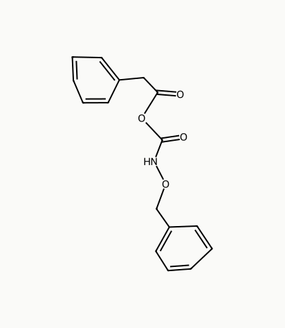 O=C(Cc1ccccc1)OC(=O)NOCc1ccccc1